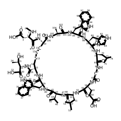 CN[C@@H](CC(=O)O)C(=O)N[C@H]1CSSC[C@@H](C(=O)N[C@H](C(=O)O)[C@@H](C)O)NC(=O)[C@H](Cc2c[nH]c3ccccc23)NC(=O)[C@H](C(C)C)NC(=O)[C@H](CC(C)C)NC(=O)[C@H](CCC(=O)O)NC(=O)CNC(=O)[C@H](CC(C)C)NC(=O)[C@H](Cc2c[nH]cn2)NC(=O)[C@H](Cc2c[nH]c3ccccc23)NC(=O)[C@H](C)NC1=O